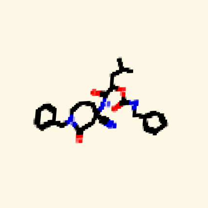 CC(C)CC(OC(=O)NCc1ccccc1)C(=O)NC1(C#N)CCCN(Cc2ccccc2)C(=O)C1